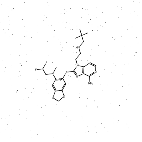 CN(CC(F)F)c1cc2c(cc1Sc1nc3c(N)nccc3n1CCNCC(C)(C)C)OCO2